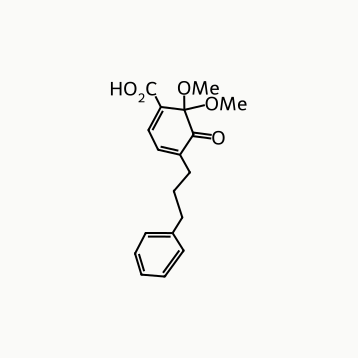 COC1(OC)C(=O)C(CCCc2ccccc2)=CC=C1C(=O)O